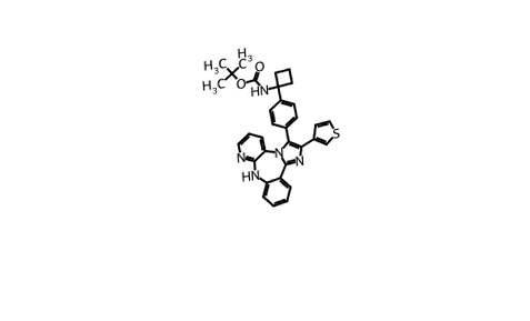 CC(C)(C)OC(=O)NC1(c2ccc(-c3c(-c4ccsc4)nc4n3-c3cccnc3Nc3ccccc3-4)cc2)CCC1